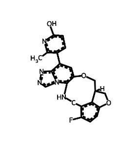 Cc1nc(O)ccc1-c1cc2c(n3cnnc13)NCc1c(F)ccc3c1[C@@H](CO3)CO2